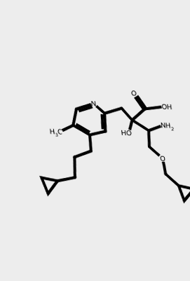 Cc1cnc(CC(O)(C(=O)O)C(N)COCC2CC2)cc1CCCC1CC1